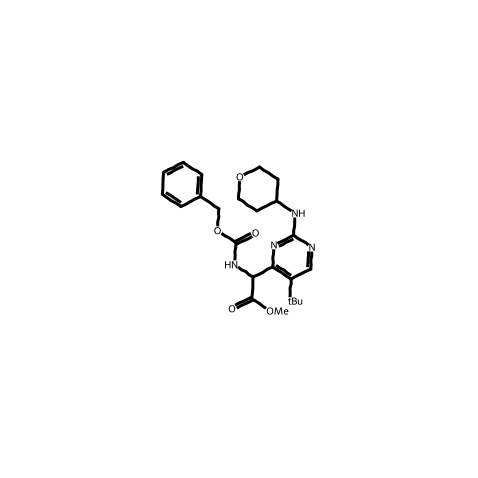 COC(=O)C(NC(=O)OCc1ccccc1)c1nc(NC2CCOCC2)ncc1C(C)(C)C